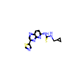 S=C(NCC1CC1)Nc1ccc2ncc(-c3cncs3)nc2n1